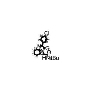 CC(C)(C)NC(=O)CN1C(=O)C(c2ccc(Cl)cc2)=NC12CCCCC2